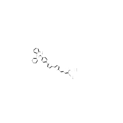 N#C/C(=C/C=C/c1ccc(-c2ccc(-c3ccc(-c4nc5ccccc5n4C4=CCCC=C4)cc3)s2)s1)C(=O)O